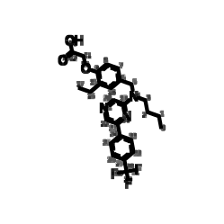 CCCCN(Cc1ccc(OCC(=O)O)c(CC)c1)c1cncc(-c2ccc(C(F)(F)F)cc2)n1